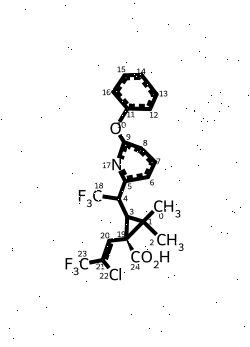 CC1(C)C(C(c2cccc(Oc3ccccc3)n2)C(F)(F)F)[C@]1(C=C(Cl)C(F)(F)F)C(=O)O